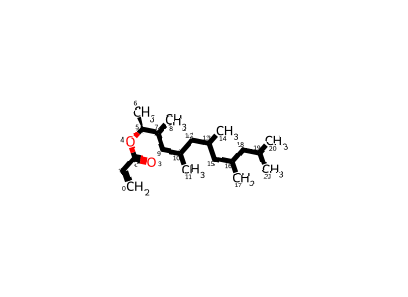 C=CC(=O)O[C@@H](C)C(C)CC(C)CC(C)CC(C)CC(C)C